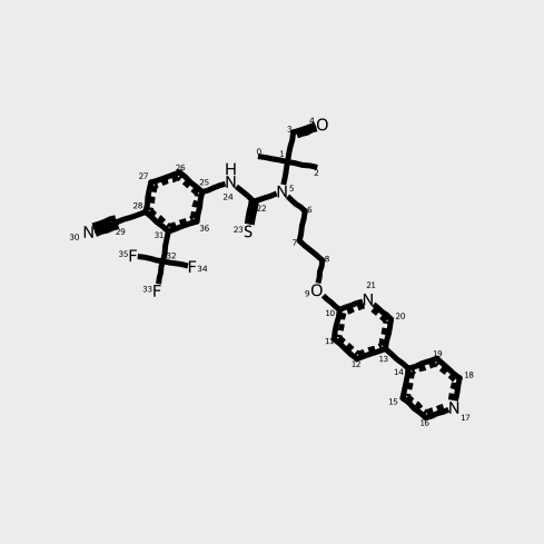 CC(C)(C=O)N(CCCOc1ccc(-c2ccncc2)cn1)C(=S)Nc1ccc(C#N)c(C(F)(F)F)c1